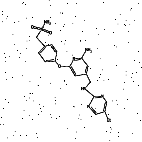 CCc1cnc(NCc2cc(N)nc(Oc3ccc(CS(N)(=O)=O)cc3)c2)nc1